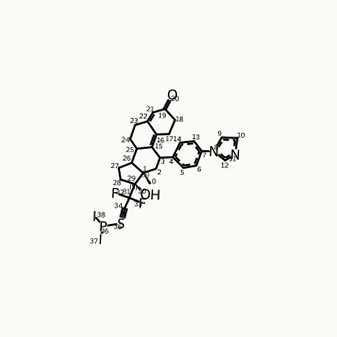 C[C@]12CC(c3ccc(-n4ccnc4)cc3)C3=C4CCC(=O)C=C4CCC3C1CC[C@@]2(O)C(F)(F)C#SP(I)I